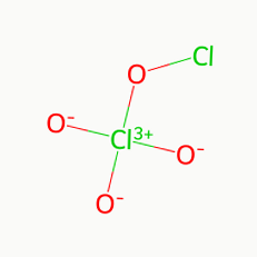 [O-][Cl+3]([O-])([O-])OCl